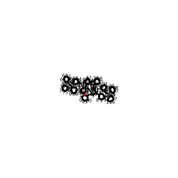 c1ccc(-c2cc(-c3cccc([Si](c4ccccc4)(c4ccccc4)c4ccccc4)c3)nc(-n3c4ccccc4c4ccc5c(c6ccccc6n5-c5cccc([Si](c6ccccc6)(c6ccccc6)c6ccccc6)c5)c43)n2)cc1